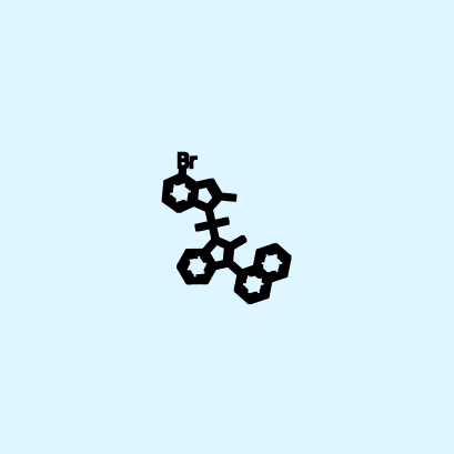 CC1=Cc2c(Br)cccc2C1C(C)(C)C1C(C)=C(c2cccc3ccccc23)c2ccccc21